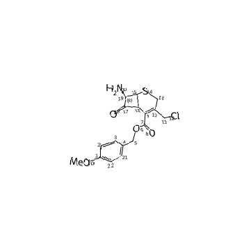 COc1ccc(COC(=O)C2=C(CCl)CSC3C2C(=O)[C@H]3N)cc1